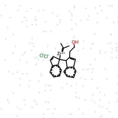 C[C](C)=[Zr+2][C]1(C2C(CCO)=Cc3ccccc32)C=Cc2ccccc21.[Cl-].[Cl-]